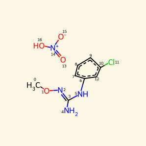 CON=C(N)Nc1cccc(Cl)c1.O=[N+]([O-])O